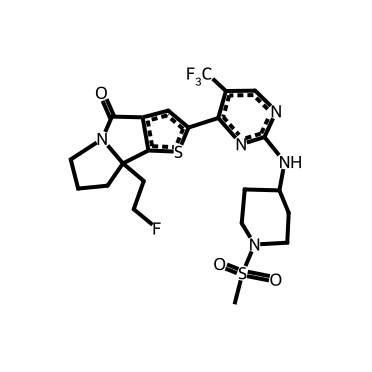 CS(=O)(=O)N1CCC(Nc2ncc(C(F)(F)F)c(-c3cc4c(s3)C3(CCF)CCCN3C4=O)n2)CC1